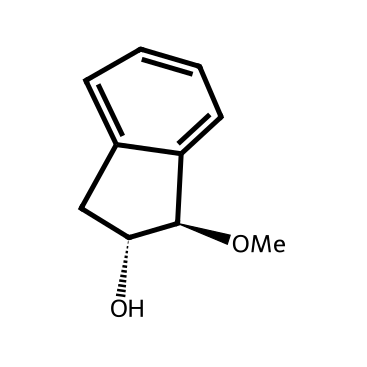 CO[C@@H]1c2ccccc2C[C@H]1O